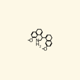 COc1ccc2c(c1)C(C(CN)C1=CCCc3ccc(OC)cc31)=CCC2